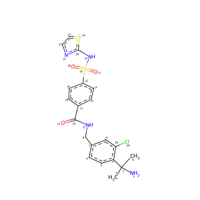 CC(C)(N)c1ccc(CNC(=O)c2ccc(S(=O)(=O)Nc3nccs3)cc2)cc1Cl